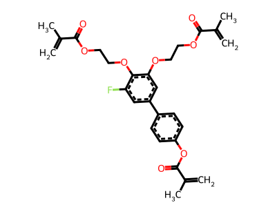 C=C(C)C(=O)OCCOc1cc(-c2ccc(OC(=O)C(=C)C)cc2)cc(F)c1OCCOC(=O)C(=C)C